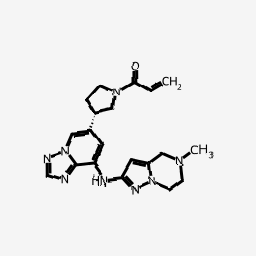 C=CC(=O)N1CC[C@@H](c2cc(Nc3cc4n(n3)CCN(C)C4)c3ncnn3c2)C1